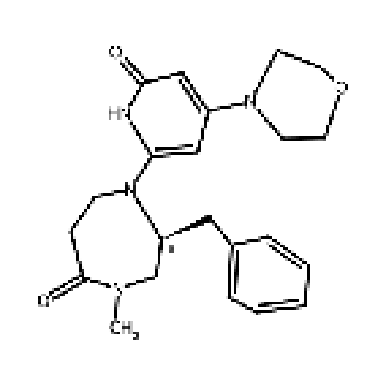 CN1C[C@H](Cc2ccccc2)N(c2cc(N3CCOCC3)cc(=O)[nH]2)CCC1=O